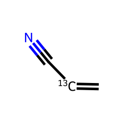 C=[13CH]C#N